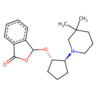 CC1(C)CCCN([C@H]2CCC[C@@H]2OC2OC(=O)c3ccccc32)C1